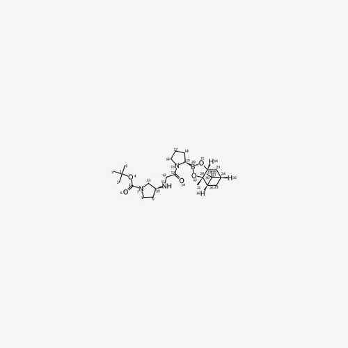 CC(C)(C)OC(=O)N1CC[C@H](NCC(=O)N2CCC[C@H]2B2O[C@@H]3C[C@@H]4C[C@@H](C4(C)C)[C@]3(C)O2)C1